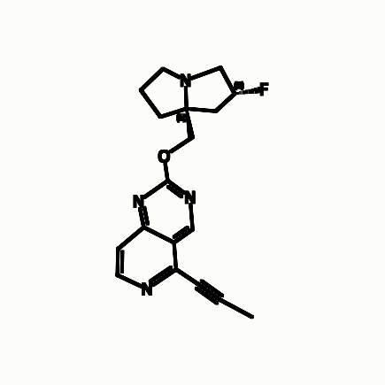 CC#Cc1nccc2nc(OC[C@@]34CCCN3C[C@H](F)C4)ncc12